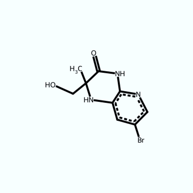 CC1(CO)Nc2cc(Br)cnc2NC1=O